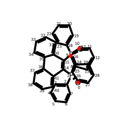 O=P(c1ccccc1)(c1ccccc1)c1c(P(=O)(c2ccccc2)c2ccccc2)c2ccccc2c2ccccc12